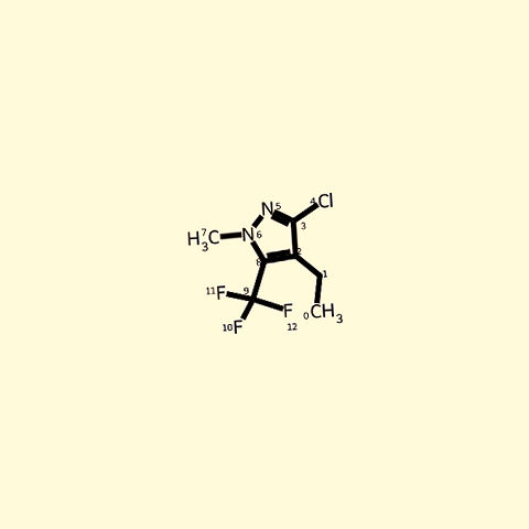 CCc1c(Cl)nn(C)c1C(F)(F)F